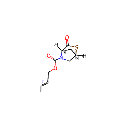 C/C=C/COC(=O)N1C[C@@H]2C[C@H]1C(=O)S2